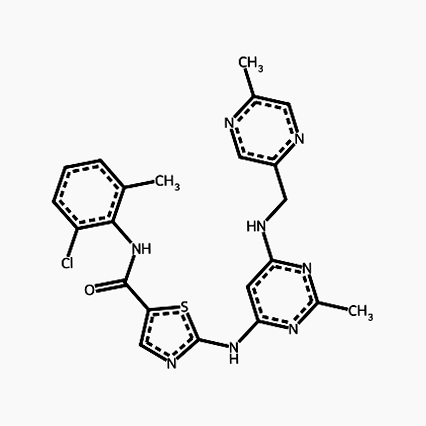 Cc1cnc(CNc2cc(Nc3ncc(C(=O)Nc4c(C)cccc4Cl)s3)nc(C)n2)cn1